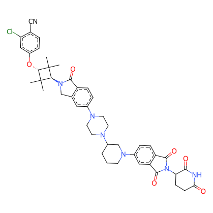 CC1(C)[C@H](Oc2ccc(C#N)c(Cl)c2)C(C)(C)[C@H]1N1Cc2cc(N3CCN(C4CCCN(c5ccc6c(c5)C(=O)N(C5CCC(=O)NC5=O)C6=O)C4)CC3)ccc2C1=O